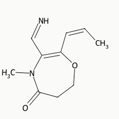 C/C=C\C1=C(C=N)N(C)C(=O)CCO1